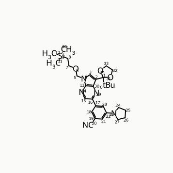 CC(C)(C)C1(c2cn(COCC[Si](C)(C)C)c3ncc(-c4cc(C#N)cc(N5CCCC5)c4)nc23)OCCO1